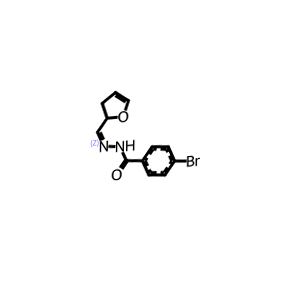 O=C(N/N=C\C1CC=CO1)c1ccc(Br)cc1